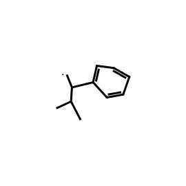 [CH2]C(c1ccccc1)C(C)C